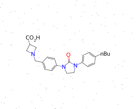 CCCCc1ccc(N2CCN(c3ccc(CN4CC(C(=O)O)C4)cc3)C2=O)cc1